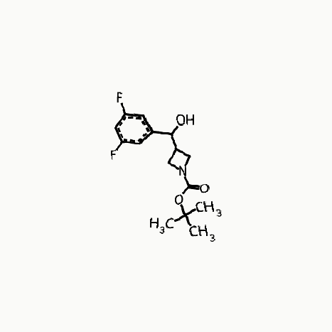 CC(C)(C)OC(=O)N1CC(C(O)c2cc(F)cc(F)c2)C1